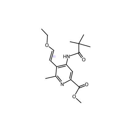 CCO/C=C/c1c(NC(=O)C(C)(C)C)cc(C(=O)OC)nc1C